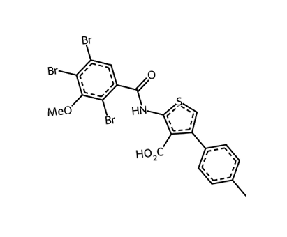 COc1c(Br)c(Br)cc(C(=O)Nc2scc(-c3ccc(C)cc3)c2C(=O)O)c1Br